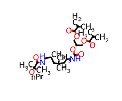 C=C(C)C(=O)OCC(COC(=O)C(=C)C)OC(=O)NCCC(C)(C)CC(C)CNC(=O)C(C)(C)OCCC